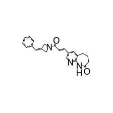 O=C1CCCc2cc(/C=C/C(=O)N3CC(=Cc4ccccc4)C3)cnc2N1